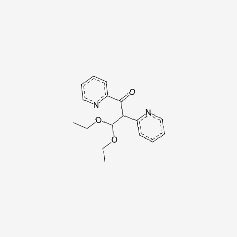 CCOC(OCC)C(C(=O)c1ccccn1)c1ccccn1